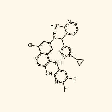 Cc1ncccc1C(Nc1cc(Cl)c2ncc(C#N)c(Nc3cnc(F)c(F)c3)c2c1)c1cn(C2CC2)nn1